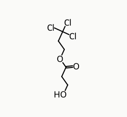 O=C(CCO)OCCC(Cl)(Cl)Cl